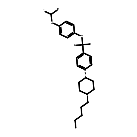 CCCCC[C@H]1CC[C@H](c2ccc(C(F)(F)Oc3ccc(OC(F)F)cc3)cc2)CC1